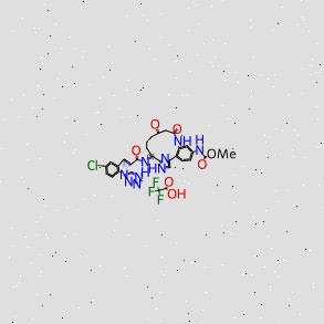 COC(=O)Nc1ccc2c(c1)NC(=O)CC(=O)CCC[C@H](NC(=O)/C=C/c1cc(Cl)ccc1-n1cnnn1)c1nc-2c[nH]1.O=C(O)C(F)(F)F